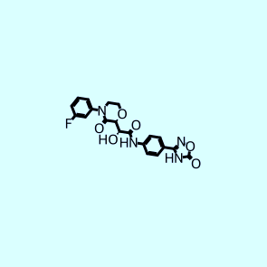 O=C(Nc1ccc(-c2noc(=O)[nH]2)cc1)[C@H](O)[C@H]1OCCN(c2cccc(F)c2)C1=O